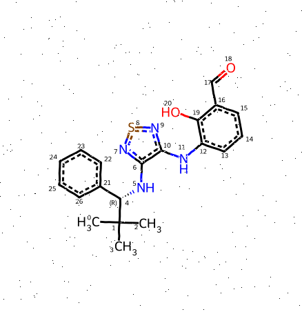 CC(C)(C)[C@@H](Nc1nsnc1Nc1cccc(C=O)c1O)c1ccccc1